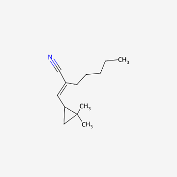 CCCCC/C(C#N)=C\C1CC1(C)C